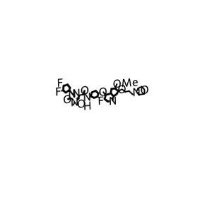 COc1cc2c(Oc3ccc(NC(=O)c4nn(-c5ccc(F)c(F)c5)c(=O)n(C)c4=O)cc3F)ccnc2cc1OCCCN1CCOCC1